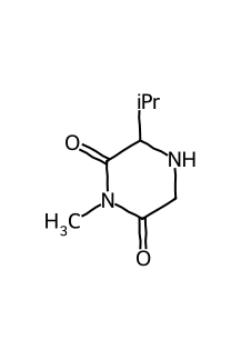 CC(C)C1NCC(=O)N(C)C1=O